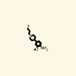 COc1cc(C2CCN(CCCF)CC2)ccc1N